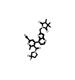 Cc1nc(C#N)cc(-c2ccnc3cc(CN4C(=O)C(C)C(C)(C)C4=O)sc23)c1C(=O)N1CCC(F)(F)C1